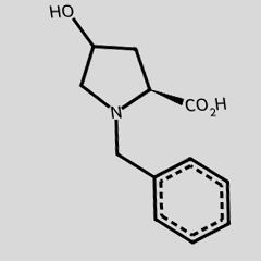 O=C(O)[C@@H]1CC(O)CN1Cc1ccccc1